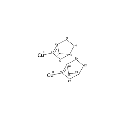 [Cu][C]1=C2CCC(C1)C2.[Cu][C]1=C2CCC(C1)C2